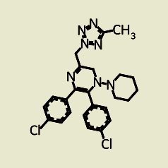 Cc1nnn(CC2=NC(c3ccc(Cl)cc3)=C(c3ccc(Cl)cc3)N(N3CCCCC3)C2)n1